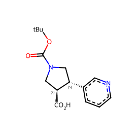 CC(C)(C)OC(=O)N1C[C@H](C(=O)O)[C@@H](c2cccnc2)C1